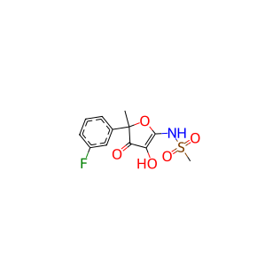 CC1(c2cccc(F)c2)OC(NS(C)(=O)=O)=C(O)C1=O